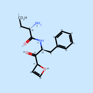 N[C@@H](CC(=O)O)C(=O)N[C@@H](Cc1ccccc1)C(=O)C1C=CO1